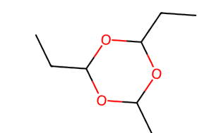 CCC1OC(C)OC(CC)O1